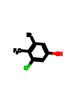 CCc1cc(O)cc(Cl)c1C(F)(F)F